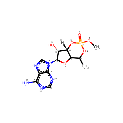 COP1(=O)OC(C)C2O[C@@H](n3cnc4c(N)ncnc43)[C@H](O)[C@@H]2O1